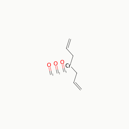 C=C[CH2][Cr][CH2]C=C.[C]=O.[C]=O.[C]=O